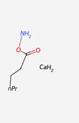 CCCCCC(=O)ON.[CaH2]